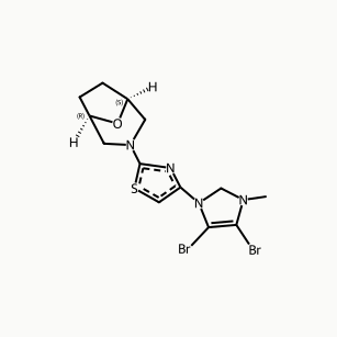 CN1CN(c2csc(N3C[C@H]4CC[C@@H](C3)O4)n2)C(Br)=C1Br